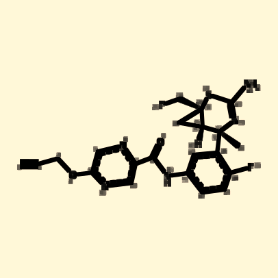 C#CCOc1cnc(C(=O)Nc2ccc(F)c([C@@]3(C)N=C(N)S[C@@]4(CF)C[C@H]43)c2)cn1